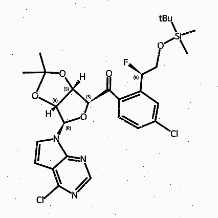 CC1(C)O[C@@H]2[C@H](O1)[C@@H](C(=O)c1ccc(Cl)cc1[C@@H](F)CO[Si](C)(C)C(C)(C)C)O[C@H]2n1ccc2c(Cl)ncnc21